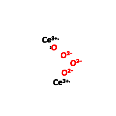 [Ce+3].[Ce+3].[O-2].[O-2].[O-2].[O]